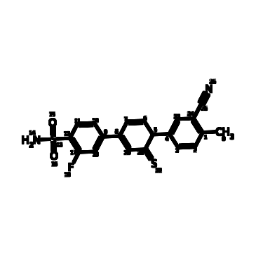 Cc1ccc(C2C=CC(c3ccc(S(N)(=O)=O)c(F)c3)=CC2=S)cc1C#N